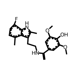 C=C(NCCc1c(C)[nH]c2c(F)ccc(C)c12)c1cc(OC)c(O)c(OC)c1